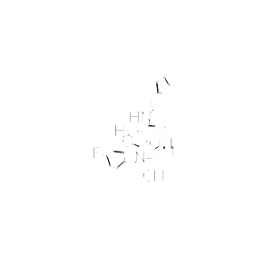 CC[C@H](c1ccc(F)cc1)N(CC)C(=O)[C@H](O)[C@@H](O)C(=O)NCCc1cccs1